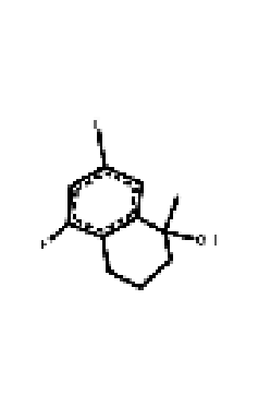 CC1(O)CCCc2c(F)cc(F)cc21